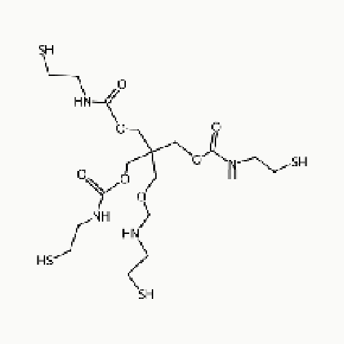 O=C(NCCS)OCC(COCNCCS)(COC(=O)NCCS)COC(=O)NCCS